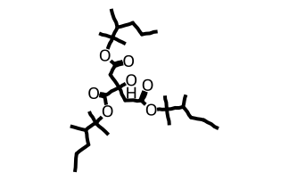 CCCC(C)C(C)(C)OC(=O)CC(O)(CC(=O)OC(C)(C)C(C)CCC)C(=O)OC(C)(C)C(C)CCC